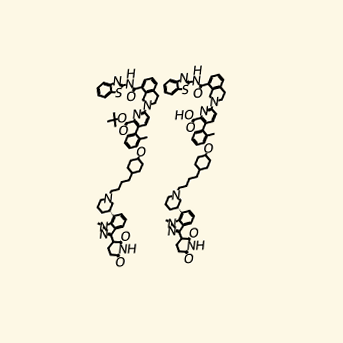 Cc1c(OC2CCC(CCCCN3CCC[C@@H](c4cccc5c(C6CCC(=O)NC6=O)nn(C)c45)C3)CC2)cccc1-c1ccc(N2CCc3cccc(C(=O)Nc4nc5ccccc5s4)c3C2)nc1C(=O)O.Cc1c(OC2CCC(CCCCN3CCC[C@@H](c4cccc5c(C6CCC(=O)NC6=O)nn(C)c45)C3)CC2)cccc1-c1ccc(N2CCc3cccc(C(=O)Nc4nc5ccccc5s4)c3C2)nc1C(=O)OC(C)(C)C